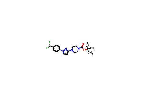 CC(C)(C)OC(=O)N1CCN(c2ccn(-c3ccc(C(F)F)cc3)n2)CC1